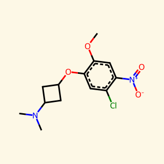 COc1cc([N+](=O)[O-])c(Cl)cc1OC1CC(N(C)C)C1